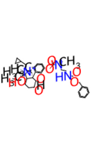 Cc1ccc(OC(=O)N(C)CCNC(=O)OCc2ccccc2)c2c1[C@]13CC[N@+](C)(CC4CC4)[C@H](C)[C@]1(O)CCC(=O)[C@@H]3O2